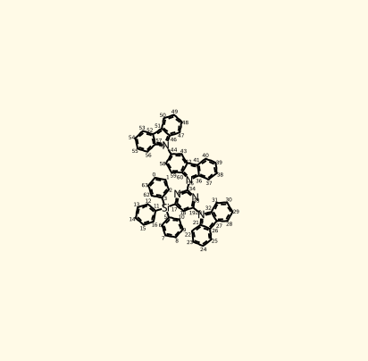 c1ccc([Si](c2ccccc2)(c2ccccc2)c2cc(-n3c4ccccc4c4ccccc43)nc(-n3c4ccccc4c4cc(-n5c6ccccc6c6ccccc65)ccc43)n2)cc1